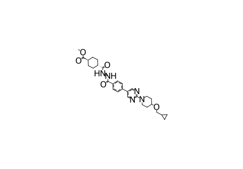 COC(=O)[C@H]1CC[C@H](C(=O)NNC(=O)c2ccc(-c3cnc(N4CCC(OCC5CC5)CC4)nc3)cc2)CC1